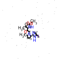 COC(=O)N[C@H](C(=O)CN1[C@@H](C)CC[C@H]1c1ncc(I)[nH]1)C(C)C